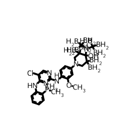 BC(B)(B)N(C(B)(B)B)C1(O)C(B)(B)CN(c2ccc(Nc3ncc(Cl)c(Nc4ccccc4P(C)C)n3)c(OC)c2)CC1(B)B